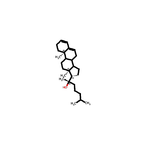 CC(C)CCC[C@](C)(O)[C@H]1CCC2C3CC=C4C=CCC[C@]4(C)C3CC[C@@]21C